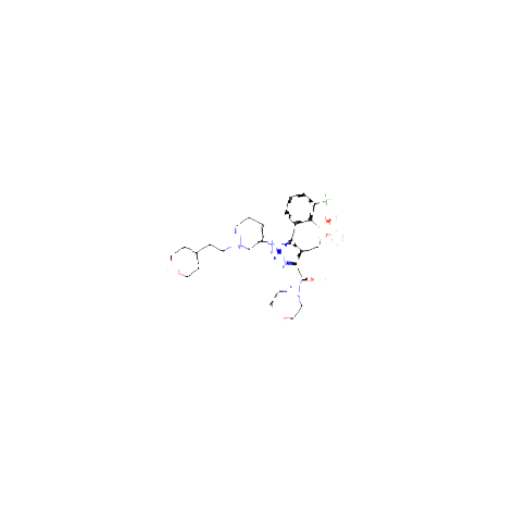 O=C(c1nn(C2CCCN(CCC3CCOCC3)C2)c2c1CS(=O)(=O)c1c(F)cccc1-2)N1CCOCC1